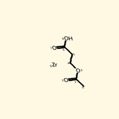 CC(=O)OCCC(=O)O.[Zr]